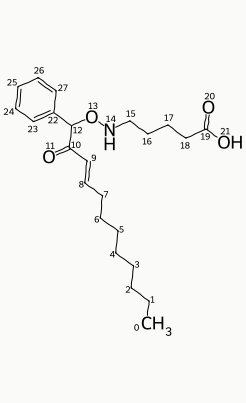 CCCCCCCCC=CC(=O)C(ONCCCCC(=O)O)c1ccccc1